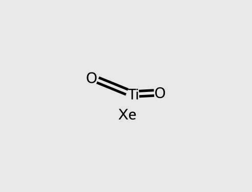 [O]=[Ti]=[O].[Xe]